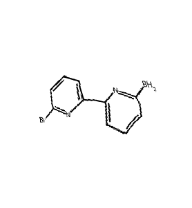 Bc1cccc(-c2cccc(Br)n2)n1